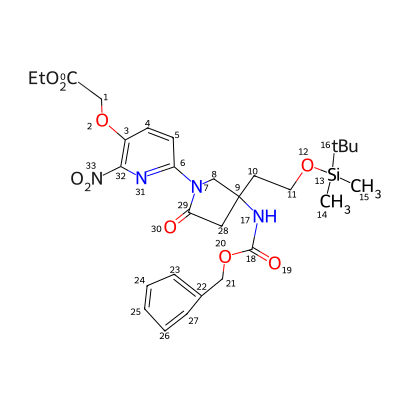 CCOC(=O)COc1ccc(N2CC(CCO[Si](C)(C)C(C)(C)C)(NC(=O)OCc3ccccc3)CC2=O)nc1[N+](=O)[O-]